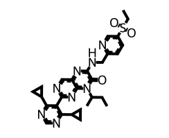 CCC(C)n1c(=O)c(NCc2ccc(S(=O)(=O)CC)cn2)nc2cnc(-c3c(C4CC4)ncnc3C3CC3)nc21